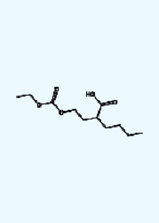 CCCCC(CCOC(=O)OCC)C(=O)O